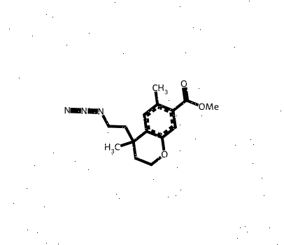 COC(=O)c1cc2c(cc1C)C(C)(CCN=[N+]=[N-])CCO2